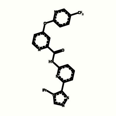 CC(C)n1cnnc1-c1cccc(NC(=O)c2cc(Oc3ccc(C(F)(F)F)cn3)ccn2)n1